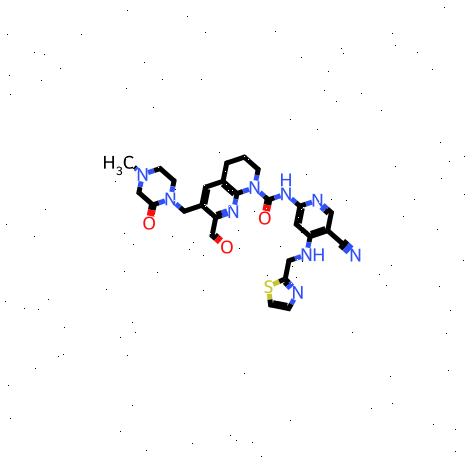 CN1CCN(Cc2cc3c(nc2C=O)N(C(=O)Nc2cc(NCc4nccs4)c(C#N)cn2)CCC3)C(=O)C1